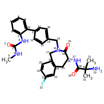 CNC(=O)Nc1ccccc1-c1ccc(CN2Cc3ccc(F)cc3C[C@@H](NC(=O)C(C)(C)N)C2=O)cc1